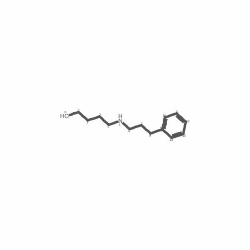 OCCCCNCCCc1ccccc1